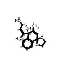 CC1=CC2(OCCO2)c2ccccc2[C@]1(O)/C(C)=C\CO